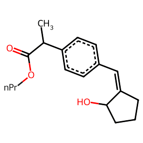 CCCOC(=O)C(C)c1ccc(C=C2CCCC2O)cc1